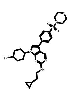 O=S(=O)(c1ccc(-c2cn(C3CCC(O)CC3)c3nc(NCCC4CC4)ncc23)cc1)N1CCOCC1